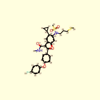 CNC(=O)c1c(-c2ccc(Oc3ccc(F)cc3)cc2)oc2cc(N(CCCSC)S(C)(=O)=O)c(C3CC3)cc12